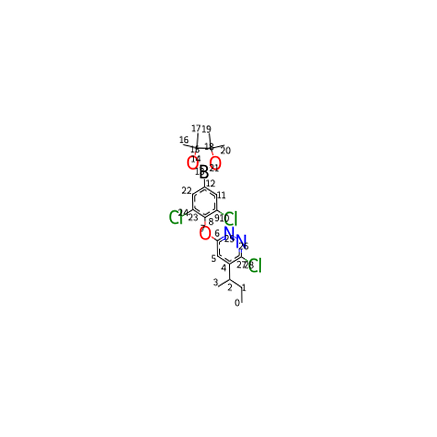 CCC(C)c1cc(Oc2c(Cl)cc(B3OC(C)(C)C(C)(C)O3)cc2Cl)nnc1Cl